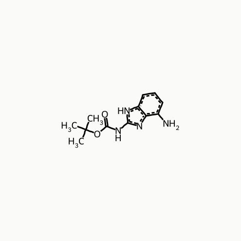 CC(C)(C)OC(=O)Nc1nc2c(N)cccc2[nH]1